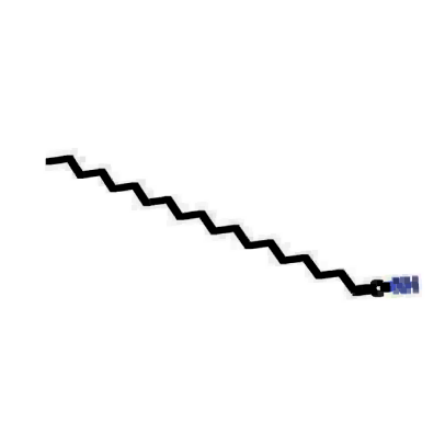 CCCCCCCCCCCCCCCCCCC=C=N